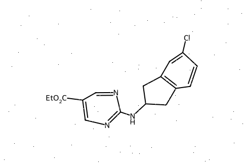 CCOC(=O)c1cnc(NC2Cc3ccc(Cl)cc3C2)nc1